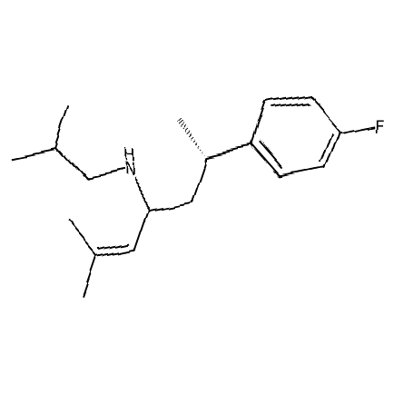 CC(C)=CC(C[C@H](C)c1ccc(F)cc1)NCC(C)C